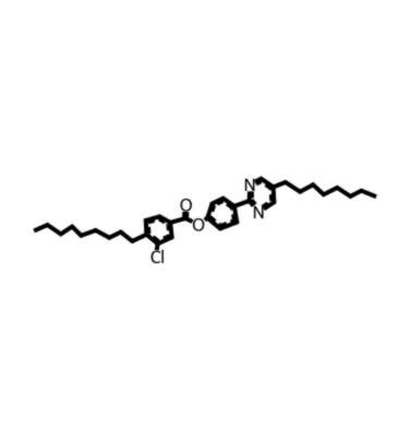 CCCCCCCCCc1ccc(C(=O)Oc2ccc(-c3ncc(CCCCCCCC)cn3)cc2)cc1Cl